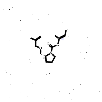 C=C(C)COC[C@H]1CCCN1C(=O)O/C(C)=C/C